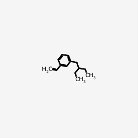 C=Cc1cccc(CC(CC)CC)c1